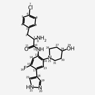 N[C@H](Cc1ccc(Cl)cc1)C(=O)Nc1cc(F)c(-c2cn[nH]c2)cc1N1CCC(O)CC1